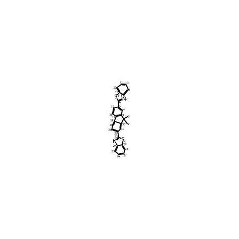 CC1(C)c2cc(-c3nc4ccccc4s3)ccc2-c2ccc(-c3nc4ccccc4s3)cc21